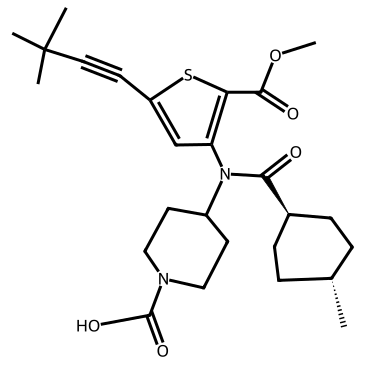 COC(=O)c1sc(C#CC(C)(C)C)cc1N(C(=O)[C@H]1CC[C@H](C)CC1)C1CCN(C(=O)O)CC1